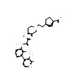 COC(=O)C12CCC(CCN3CCc4c(nc(C(=O)Nc5cccc(-c6ccnc(Cl)c6Cl)c5C)n4C)C3)(CC1)C2